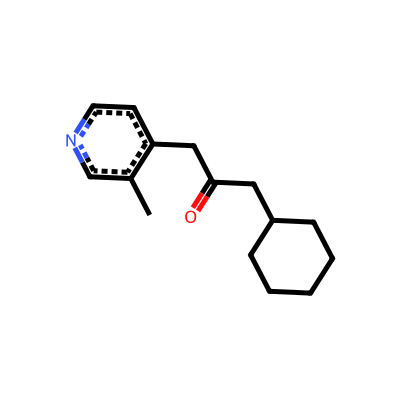 Cc1cnccc1CC(=O)CC1CCCCC1